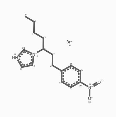 CCCCC(CCc1ccc([N+](=O)[O-])cc1)[n+]1cc[nH]c1.[Br-]